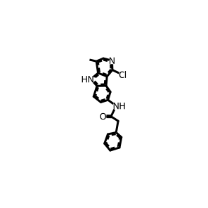 Cc1cnc(Cl)c2c1[nH]c1ccc(NC(=O)Cc3ccccc3)cc12